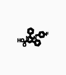 O=C(O)c1cc2c3ccccc3n(Cc3ccc(F)cc3)c2c(-c2ccccc2)n1